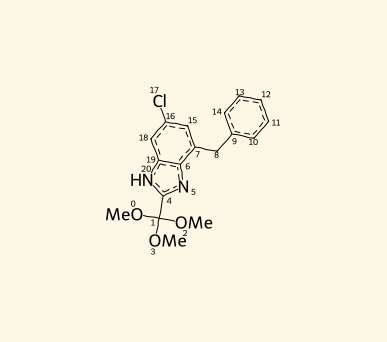 COC(OC)(OC)c1nc2c(Cc3ccccc3)cc(Cl)cc2[nH]1